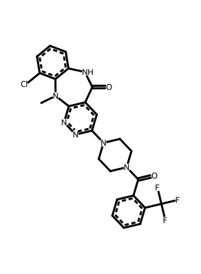 CN1c2nnc(N3CCN(C(=O)c4ccccc4C(F)(F)F)CC3)cc2C(=O)Nc2cccc(Cl)c21